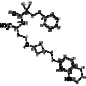 O=C(O)[C@H](CCOC1CC(CCc2ccc3c(n2)NCCC3)C1)NC(=O)C1(CCc2ccccc2)CC1